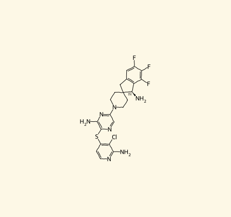 Nc1nc(N2CCC3(CC2)Cc2cc(F)c(F)c(F)c2[C@H]3N)cnc1Sc1ccnc(N)c1Cl